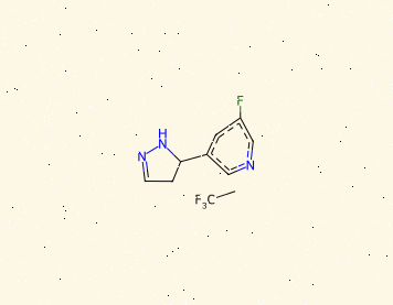 CC(F)(F)F.Fc1cncc(C2CC=NN2)c1